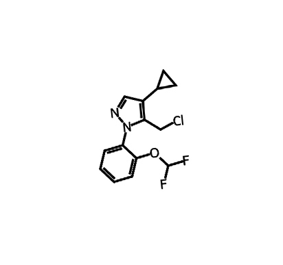 FC(F)Oc1ccccc1-n1ncc(C2CC2)c1CCl